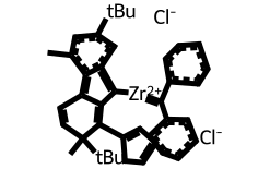 Cc1cc(C(C)(C)C)cc2c1=C1C=CC(C)(C(C)(C)C)C(C3=CC=CC3)=C1[C]=2[Zr+2]=[C](c1ccccc1)c1ccccc1.[Cl-].[Cl-]